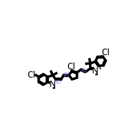 CN1/C(=C/C=C2\CCC(/C=C/C3=[N+](C)c4ccc(Cl)cc4C3(C)C)=C2Cl)C(C)(C)c2cc(Cl)ccc21